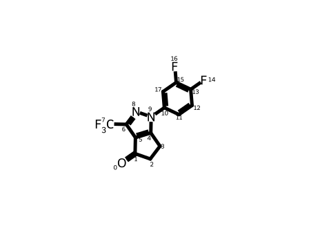 O=C1CCc2c1c(C(F)(F)F)nn2-c1ccc(F)c(F)c1